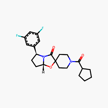 O=C(C1CCCC1)N1CCC2(CC1)O[C@@H]1CC[C@@H](c3cc(F)cc(F)c3)N1C2=O